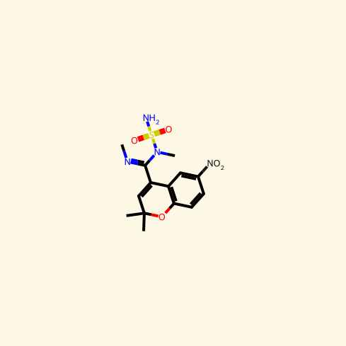 CN=C(C1=CC(C)(C)Oc2ccc([N+](=O)[O-])cc21)N(C)S(N)(=O)=O